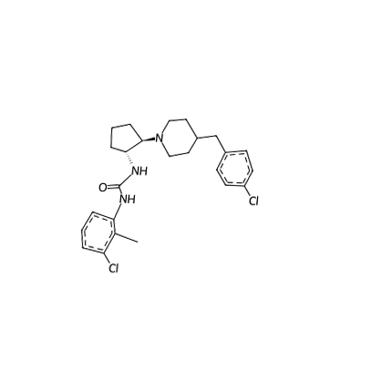 Cc1c(Cl)cccc1NC(=O)N[C@@H]1CCC[C@H]1N1CCC(Cc2ccc(Cl)cc2)CC1